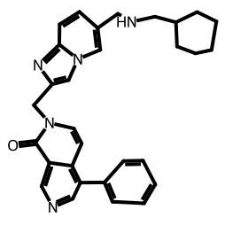 O=c1c2cncc(-c3ccccc3)c2ccn1Cc1cn2cc(CNCC3CCCCC3)ccc2n1